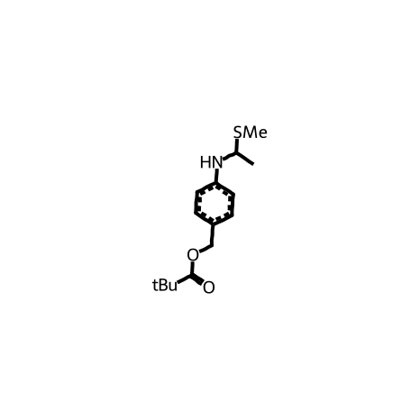 CSC(C)Nc1ccc(COC(=O)C(C)(C)C)cc1